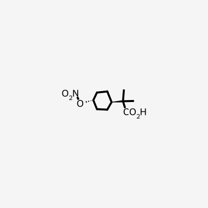 CC(C)(C(=O)O)[C@H]1CC[C@H](O[N+](=O)[O-])CC1